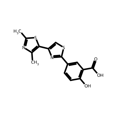 Cc1nc(C)c(-c2csc(-c3ccc(O)c(C(=O)O)c3)n2)s1